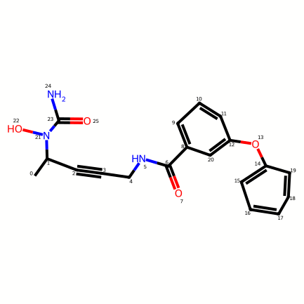 CC(C#CCNC(=O)c1cccc(Oc2ccccc2)c1)N(O)C(N)=O